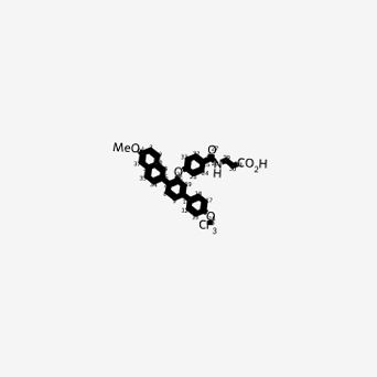 COc1ccc2cc(-c3ccc(-c4ccc(OC(F)(F)F)cc4)cc3Oc3ccc(C(=O)NCCC(=O)O)cc3)ccc2c1